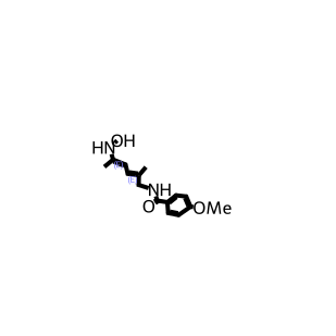 COc1ccc(C(=O)NC/C(C)=C/C=C(\C)NO)cc1